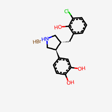 Br.Oc1ccc([C@H]2CNC[C@@H]2Cc2cccc(Cl)c2O)cc1O